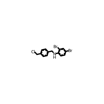 ClCc1ccc(CNc2ccc(Br)cc2Br)cc1